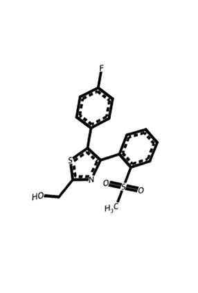 CS(=O)(=O)c1ccccc1-c1nc(CO)sc1-c1ccc(F)cc1